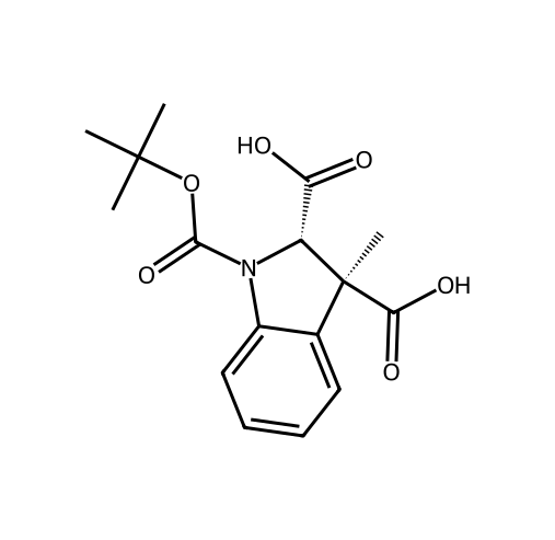 CC(C)(C)OC(=O)N1c2ccccc2[C@](C)(C(=O)O)[C@H]1C(=O)O